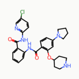 O=C(Nc1ccc(Cl)cn1)c1ccccc1NC(=O)c1ccc(N2CCCC2)cc1OC1CCNCC1